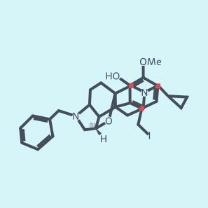 COc1ccc(CI)c(C23CCN(CC4CC4)CC24CCC2C3[C@@H](CN2Cc2ccccc2)O4)c1O